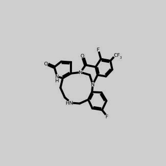 O=C1c2c(ccc(C(F)(F)F)c2F)N2CN1c1ccc(=O)[nH]c1CCNCc1cc(F)ccc12